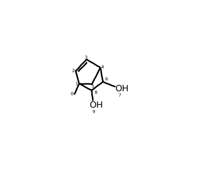 CC12C=CC(C1)C(O)C2O